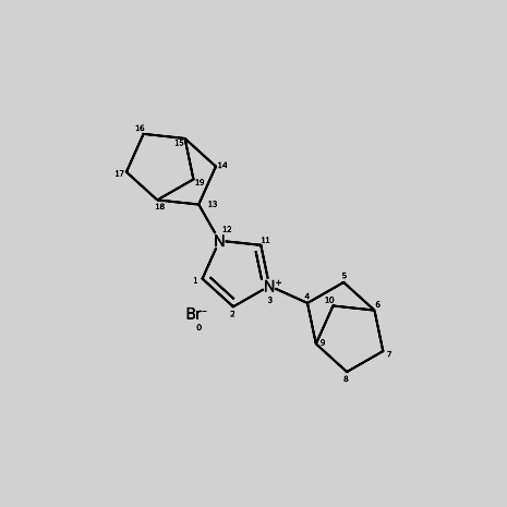 [Br-].c1c[n+](C2CC3CCC2C3)cn1C1CC2CCC1C2